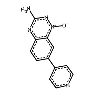 Nc1nc2ccc(-c3ccncc3)cc2[n+]([O-])n1